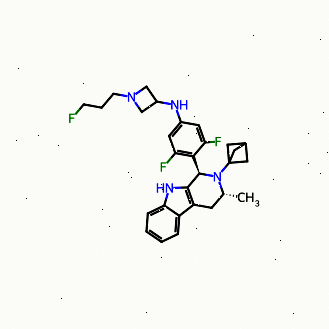 C[C@@H]1Cc2c([nH]c3ccccc23)[C@@H](c2c(F)cc(NC3CN(CCCF)C3)cc2F)N1C12CC(C1)C2